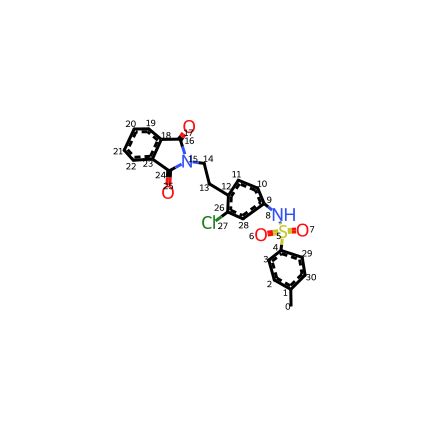 Cc1ccc(S(=O)(=O)Nc2ccc(CCN3C(=O)c4ccccc4C3=O)c(Cl)c2)cc1